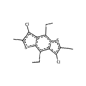 CCc1c2sc(C)c(Cl)c2c(CC)c2sc(C)c(Cl)c12